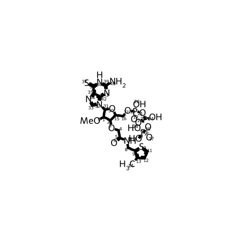 COC1C(OCC(=O)NCc2sccc2C)C(COP(=O)(O)OP(=O)(O)OP(=O)(O)O)OC1n1cnc2c(=S)[nH]c(N)nc21